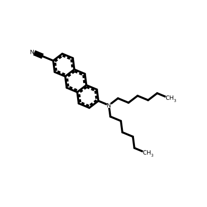 CCCCCCN(CCCCCC)c1ccc2cc3cc(C#N)ccc3cc2c1